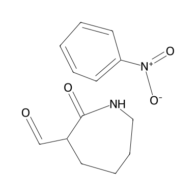 O=CC1CCCCNC1=O.O=[N+]([O-])c1ccccc1